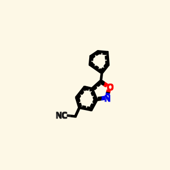 N#CCc1ccc2c(-c3ccccc3)onc2c1